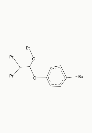 CCOC(Oc1ccc(C(C)CC)cc1)C(C(C)C)C(C)C